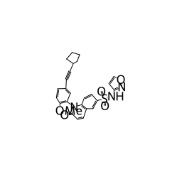 COc1ccc(C#CC2CCCC2)cc1-n1c(=O)ccc2cc(S(=O)(=O)Nc3ccon3)ccc21